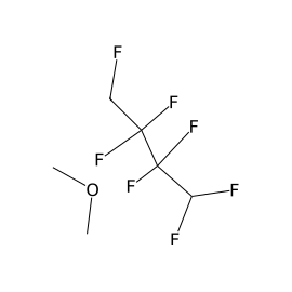 COC.FCC(F)(F)C(F)(F)C(F)F